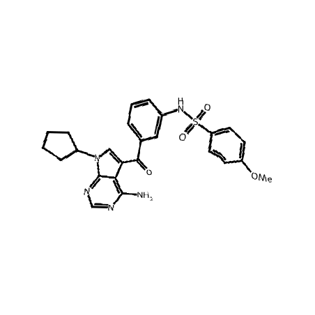 COc1ccc(S(=O)(=O)Nc2cccc(C(=O)c3cn(C4CCCC4)c4ncnc(N)c34)c2)cc1